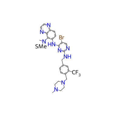 CSN(C)c1c(Nc2nc(NCc3ccc(CN4CCN(C)CC4)c(C(F)(F)F)c3)ncc2Br)ccc2nccnc12